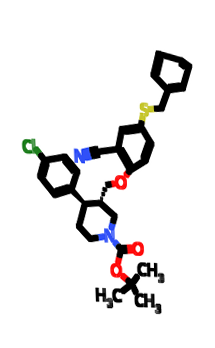 CC(C)(C)OC(=O)N1CC[C@@H](c2ccc(Cl)cc2)[C@H](COc2ccc(SCc3ccccc3)cc2C#N)C1